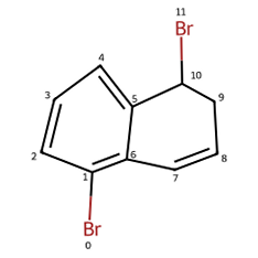 Brc1cccc2c1C=CCC2Br